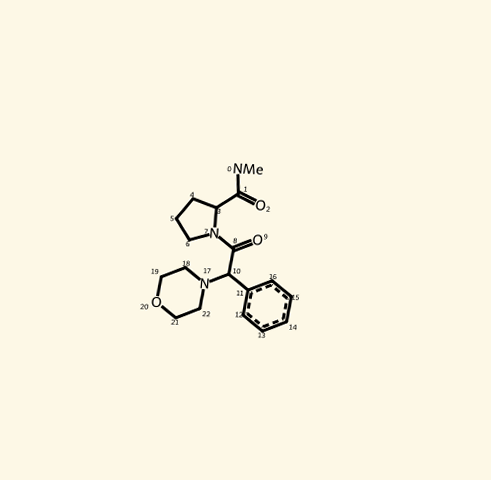 CNC(=O)C1CCCN1C(=O)C(c1ccccc1)N1CCOCC1